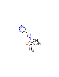 CC(C)CC(C)(C)C(=O)NCCc1cncnc1